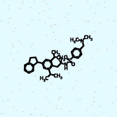 CC(C)c1cc(C2CCc3ccccc32)cc(C(C)C)c1CC(=O)NS(=O)(=O)c1ccc(CN(C)C)cc1